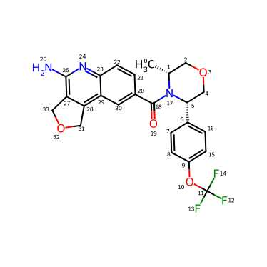 C[C@@H]1COC[C@H](c2ccc(OC(F)(F)F)cc2)N1C(=O)c1ccc2nc(N)c3c(c2c1)COC3